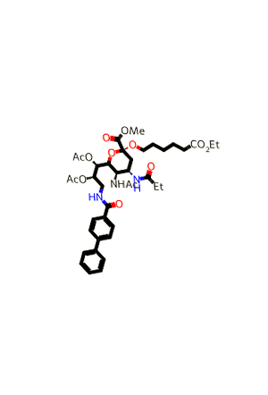 CCOC(=O)CCCCCO[C@]1(C(=O)OC)C[C@H](NC(=O)CC)[C@@H](NC(C)=O)C([C@H](OC(C)=O)[C@@H](CNC(=O)c2ccc(-c3ccccc3)cc2)OC(C)=O)O1